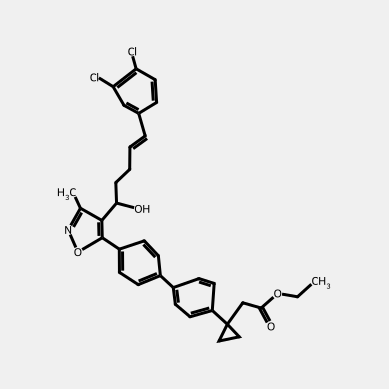 CCOC(=O)CC1(c2ccc(-c3ccc(-c4onc(C)c4C(O)CCC=Cc4ccc(Cl)c(Cl)c4)cc3)cc2)CC1